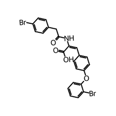 O=C(Cc1ccc(Br)cc1)N/C(=C/c1ccc(Oc2ccccc2Br)cc1)C(=O)O